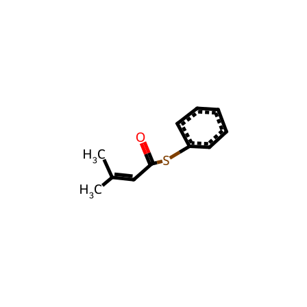 CC(C)=CC(=O)Sc1ccccc1